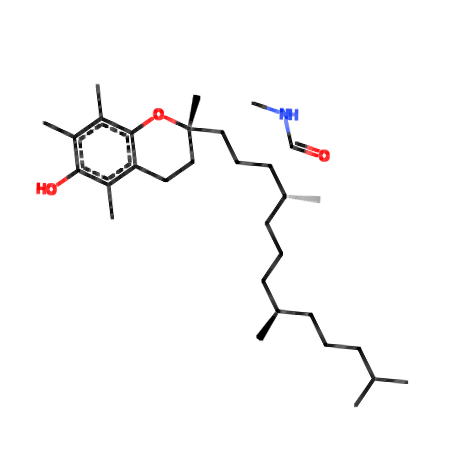 CNC=O.Cc1c(C)c2c(c(C)c1O)CC[C@@](C)(CCC[C@H](C)CCC[C@H](C)CCCC(C)C)O2